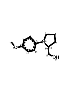 COc1ccc(N2CCC[C@H]2CO)cc1